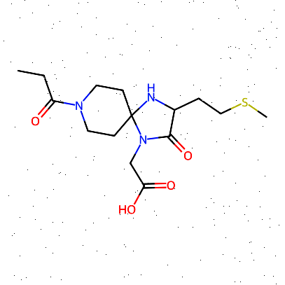 CCC(=O)N1CCC2(CC1)NC(CCSC)C(=O)N2CC(=O)O